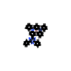 c1ccc(-c2nc(-c3ccccc3)nc(-c3ccc4c(c3)B3c5ccccc5N(c5ccccc5)c5cccc(c53)N4c3ccccc3)n2)cc1